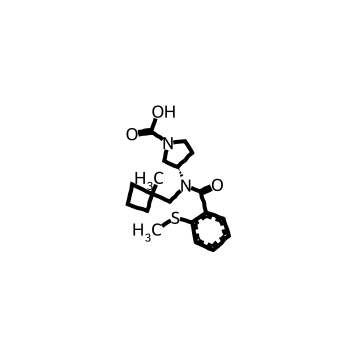 CSc1ccccc1C(=O)N(CC1(C)CCC1)[C@H]1CCN(C(=O)O)C1